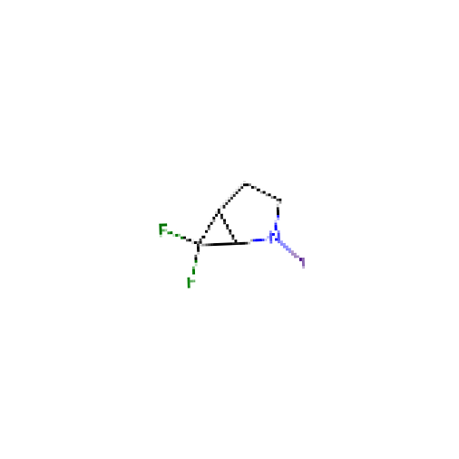 FC1(F)C2CCN(I)C21